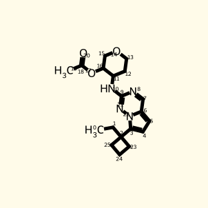 CCC1(c2ccc3cnc(NC4CCOCC4OC(C)=O)nn23)CCC1